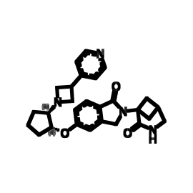 O=C1c2ccc(O[C@@H]3CCC[C@H]3N3CC(c4ccncc4)C3)cc2CN1C12CC(CNC1=O)C2